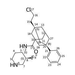 O=C(N[C@H]1CCNC[C@@H]1F)C12CC3C[C@@](CCCl)(C1)C[C@](c1ccccc1)(C3)C2